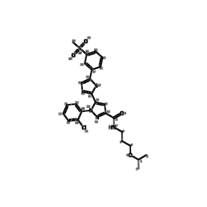 CC(C)OCCCNC(=O)c1cc(-c2ccc(-c3cccc(S(C)(=O)=O)c3)s2)n(-c2ccccc2Cl)n1